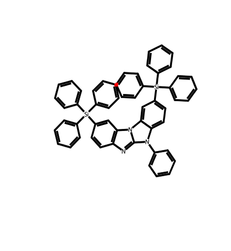 c1ccc(-n2c3ccc([Si](c4ccccc4)(c4ccccc4)c4ccccc4)cc3n3c4cc([Si](c5ccccc5)(c5ccccc5)c5ccccc5)ccc4nc23)cc1